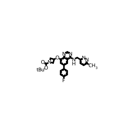 Cc1ccc(CNc2ncnc3c(OC4CN(C(=O)OC(C)(C)C)C4)cc(-c4ccc(F)cc4)cc23)nn1